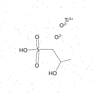 CC(O)CS(=O)(=O)O.[O-2].[O-2].[Ti+4]